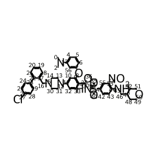 CN(C)c1cccc(Oc2cc(N3CCN(Cc4ccccc4-c4ccc(Cl)cc4)CC3)ccc2C(=O)NS(=O)(=O)c2ccc(NCC3CCOCC3)c([N+](=O)[O-])c2)c1